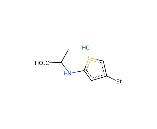 CCc1csc(NC(C)C(=O)O)c1.Cl